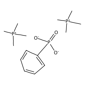 C[P+](C)(C)C.C[P+](C)(C)C.O=P([O-])([O-])c1ccccc1